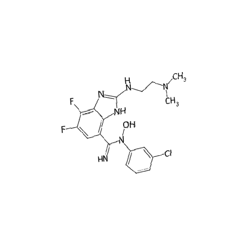 CN(C)CCNc1nc2c(F)c(F)cc(C(=N)N(O)c3cccc(Cl)c3)c2[nH]1